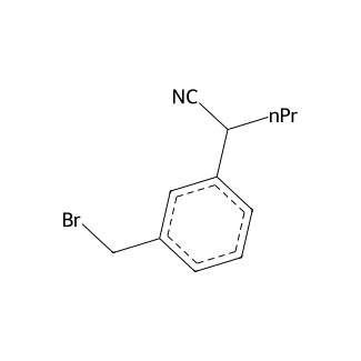 CCCC(C#N)c1cccc(CBr)c1